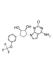 Nc1nc(Cl)nc2c1ccn2[C@@H]1C[C@H](c2cccc(OC(F)(F)F)c2)[C@@H](O)[C@H]1O